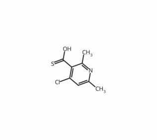 Cc1cc(Cl)c(C(O)=S)c(C)n1